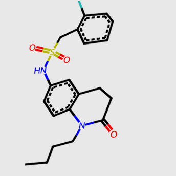 CCCCN1C(=O)CCc2cc(NS(=O)(=O)Cc3ccccc3F)ccc21